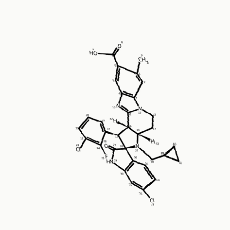 Cc1cc2c(cc1C(=O)O)nc1n2CC[C@H]2[C@@H]1[C@H](c1cccc(Cl)c1F)[C@]1(C(=O)Nc3cc(Cl)ccc31)N2CC1CC1